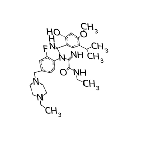 CCNC(=O)C(=N)N(C(=N)c1cc(C(C)C)c(OC)cc1O)c1ccc(CN2CCN(CC)CC2)cc1F